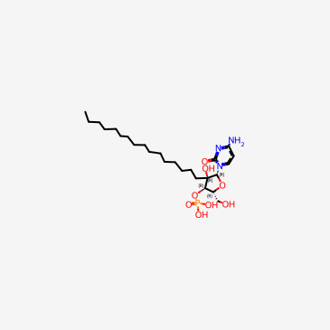 CCCCCCCCCCCCCCCC[C@@]1(O)[C@H](OP(=O)(O)O)[C@@H](CO)O[C@H]1n1ccc(N)nc1=O